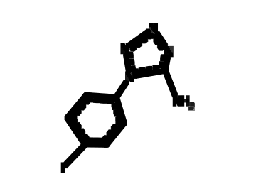 Nc1nnnn1-c1ccc(I)cc1